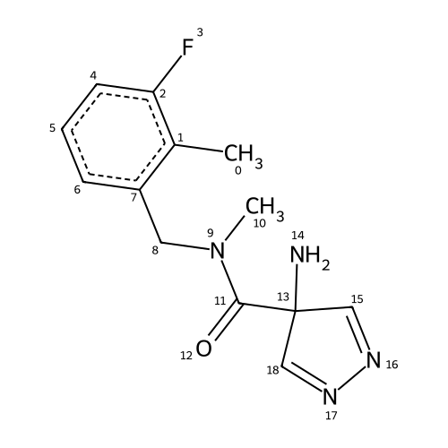 Cc1c(F)cccc1CN(C)C(=O)C1(N)C=NN=C1